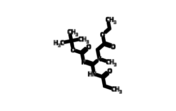 CCOC(=O)CN(C)/C(=N\C(=O)OC(C)(C)C)NC(=O)CC